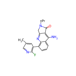 CCCN1Cc2nc3c(-c4cc(C)cnc4F)cccc3c(N)c2C1=O